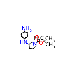 CC(C)(C)OC(=O)N1CCCC(Nc2ccc(N)cc2)C1